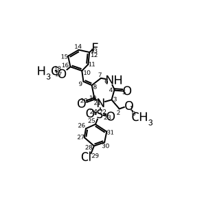 COCC1C(=O)NCC(=Cc2cc(F)ccc2OC)C(=O)N1S(=O)(=O)c1ccc(Cl)cc1